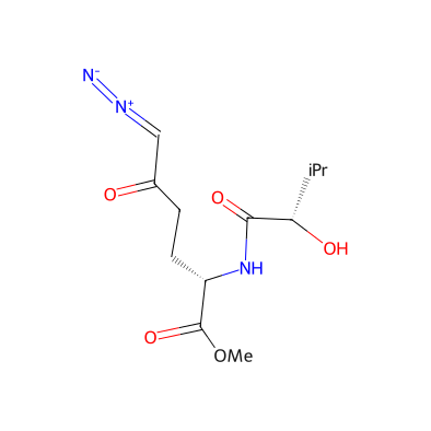 COC(=O)[C@H](CCC(=O)C=[N+]=[N-])NC(=O)[C@@H](O)C(C)C